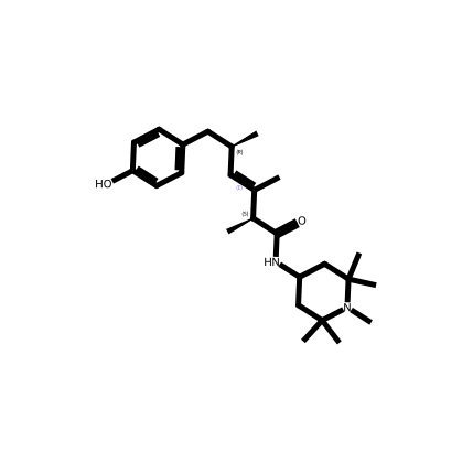 C/C(=C\[C@H](C)Cc1ccc(O)cc1)[C@H](C)C(=O)NC1CC(C)(C)N(C)C(C)(C)C1